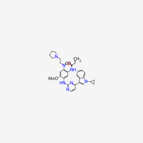 C=CC(=O)Nc1cc(Nc2nccc(-c3cn(C4CC4)c4ccccc34)n2)c(OC)cc1N(C)CCN1CCCC1